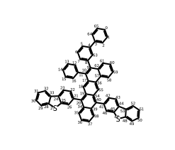 c1ccc(-c2cccc(-c3c(-c4ccccc4)c4cc5c(-c6ccc7c(c6)sc6ccccc67)c6ccccc6c(-c6ccc7c(c6)sc6ccccc67)c5cc4c4ccccc34)c2)cc1